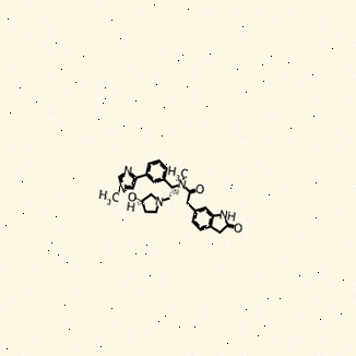 CN(C(=O)Cc1ccc2c(c1)NC(=O)C2)[C@H](CN1CC[C@H](O)C1)c1cccc(-c2cn(C)cn2)c1